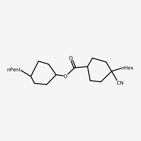 CCCCCCC1(C#N)CCC(C(=O)OC2CCC(CCCCC)CC2)CC1